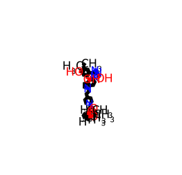 CC(C)c1cc(-c2nnc(O)n2-c2ccc3c(ccn3CCC3CCN(C(=O)C[C@]45OC(C)(C)O[C@H]4C[C@H]4C[C@@H]5C4(C)C)CC3)c2)c(O)cc1O